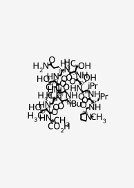 CC[C@H](C)[C@H](NC(=O)[C@H](C)NC(=O)[C@@H](NC(=O)[C@H](CCC(N)=O)NC(=O)[C@@H](NC(=O)[C@H](CO)NC(=O)[C@@H](NC(=O)[C@H](CC(C)C)NC(=O)[C@@H]1CCCN1C)C(C)C)[C@@H](C)O)[C@@H](C)O)C(=O)N[C@@H](C)C(=O)N[C@H](C(=O)N[C@@H](C)C(=O)O)[C@@H](C)O